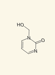 O=c1ncccn1CO